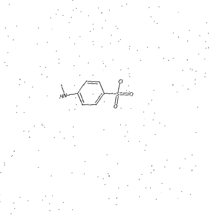 CNc1ccc(S(=O)(=O)Cl)cc1